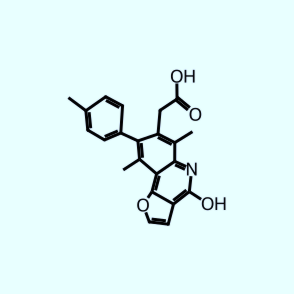 Cc1ccc(-c2c(CC(=O)O)c(C)c3nc(O)c4ccoc4c3c2C)cc1